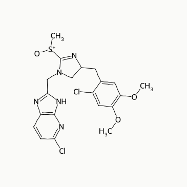 COc1cc(Cl)c(CC2CN(Cc3nc4ccc(Cl)nc4[nH]3)C([S+](C)[O-])=N2)cc1OC